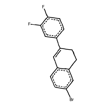 Fc1ccc(C2=Cc3ccc(Br)cc3CC2)cc1F